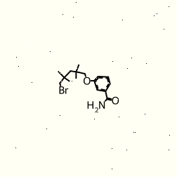 CC(C)(CBr)CC(C)(C)COc1cccc(C(N)=O)c1